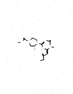 CC[C@@H]1CN(c2nc(=O)n(C)c3cc(CO)nn23)[C@@H](CC)CN1C(=O)OC(C)(C)C